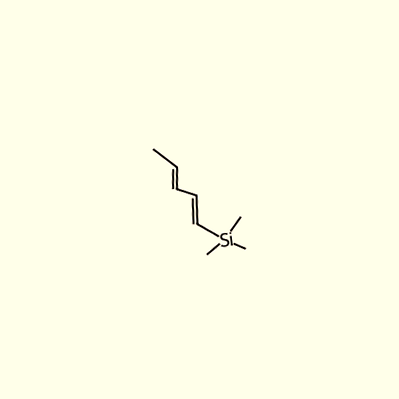 CC=CC=C[Si](C)(C)C